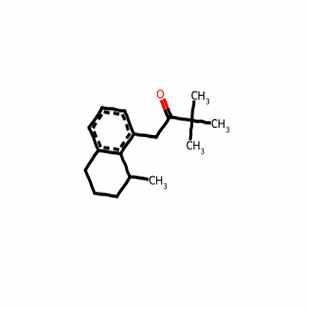 CC1CCCc2cccc(CC(=O)C(C)(C)C)c21